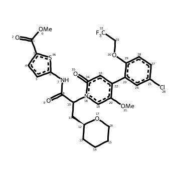 COC(=O)c1ccc(NC(=O)C(C[C@@H]2CCCCO2)n2cc(OC)c(-c3cc(Cl)ccc3OCC(F)(F)F)cc2=O)s1